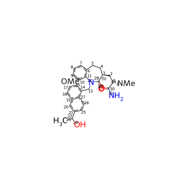 CN[C@@H](C[C@@H]1CCc2ccccc2N(Cc2c(OC)ccc3cc(C(C)O)ccc23)C1=O)C(N)=O